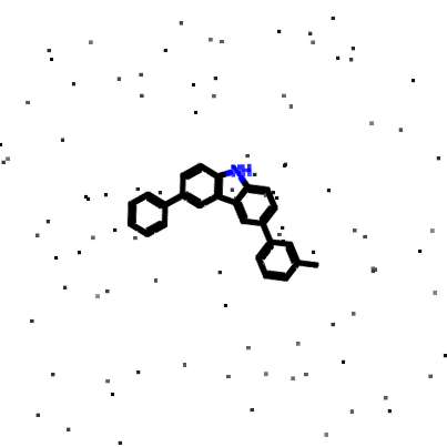 Cc1cccc(-c2ccc3[nH]c4ccc(-c5ccccc5)cc4c3c2)c1